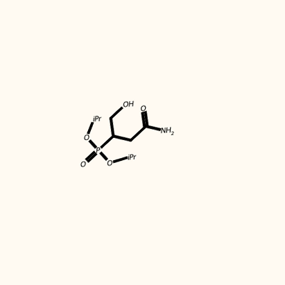 CC(C)OP(=O)(OC(C)C)C(CO)CC(N)=O